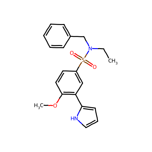 CCN(Cc1ccccc1)S(=O)(=O)c1ccc(OC)c(-c2ccc[nH]2)c1